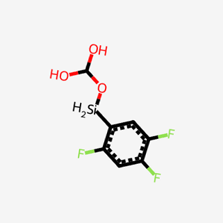 OC(O)O[SiH2]c1cc(F)c(F)cc1F